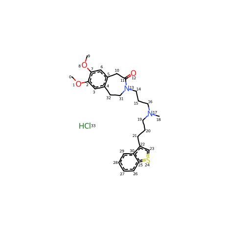 COc1cc2c(cc1OC)CC(=O)N(CCCN(C)CCCc1csc3ccccc13)CC2.Cl